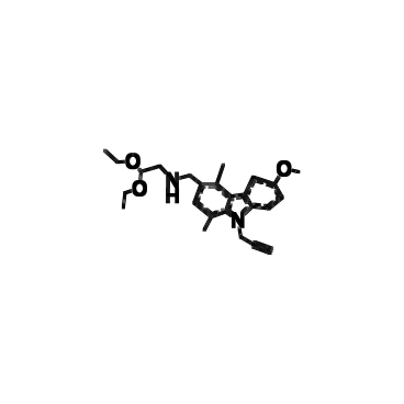 C#CCn1c2ccc(OC)cc2c2c(C)c(CNCC(OCC)OCC)cc(C)c21